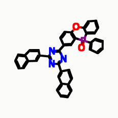 O=P1(c2ccccc2)c2ccccc2Oc2ccc(-c3nc(-c4ccc5ccccc5c4)nc(-c4ccc5ccccc5c4)n3)cc21